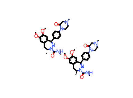 CNC(=O)N1N=C(c2ccc(N3CCN(C)CC3=O)cc2)c2cc(OC)c(OC)cc2C[C@@H]1C.CNC(=O)N1N=C(c2ccc(N3CCN(C)CC3=O)cc2)c2cc(OC)c(OC)cc2C[C@H]1C